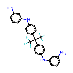 Nc1cccc(Nc2ccc(C(c3ccc(Nc4cccc(N)c4)cc3)(C(F)(F)F)C(F)(F)F)cc2)c1